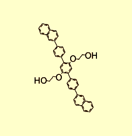 OCCOc1cc(-c2ccc(-c3ccc4ccccc4c3)cc2)c(OCCO)cc1-c1ccc(-c2ccc3ccccc3c2)cc1